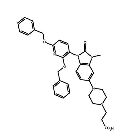 Cn1c(=O)n(-c2ccc(OCc3ccccc3)nc2OCc2ccccc2)c2ccc(N3CCN(CCC(=O)O)CC3)cc21